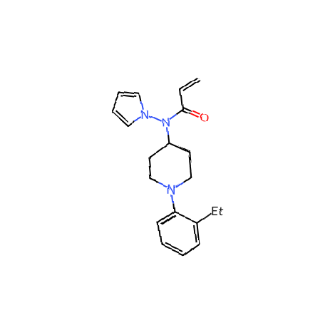 C=CC(=O)N(C1CCN(c2ccccc2CC)CC1)n1cccc1